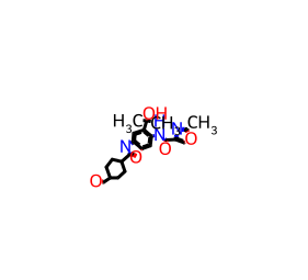 Cc1nc(C(=O)Nc2cc3oc(C4CCC(C=O)CC4)nc3cc2C(C)(C)O)co1